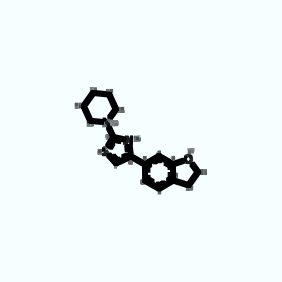 c1cc2c(cc1-c1csc(N3CCCCC3)n1)OCC2